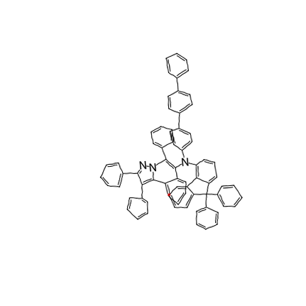 c1ccc(-c2ccc(-c3ccc(N(c4cccc5c4-c4ccccc4C5(c4ccccc4)c4ccccc4)c4c(-c5ccccc5)n5nc(-c6ccccc6)c(-c6ccccc6)c5c5ccccc45)cc3)cc2)cc1